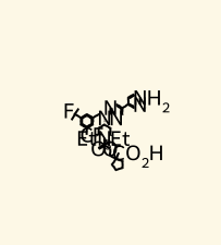 C=C/C(=C\N(C)N)c1cnc(N(Cc2cc(C(C)(C)F)cc(C(F)(F)F)c2)[C@H]2C[C@@H](CC)N(C(=O)OCC3(C(=O)O)CCCC3)[C@@H](CC)C2)nc1